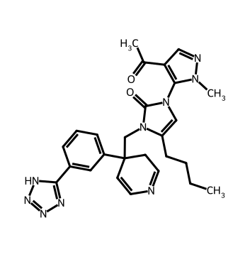 CCCCc1cn(-c2c(C(C)=O)cnn2C)c(=O)n1CC1(c2cccc(-c3nnn[nH]3)c2)C=CN=CC1